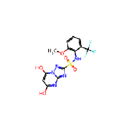 COc1cccc(C(F)(F)F)c1NS(=O)(=O)c1nc2nc(O)cc(O)n2n1